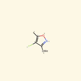 COc1noc(C)c1F